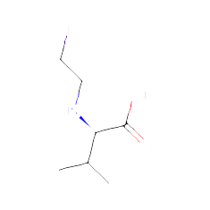 CC(C)[C@@H](NCCI)C(=O)O